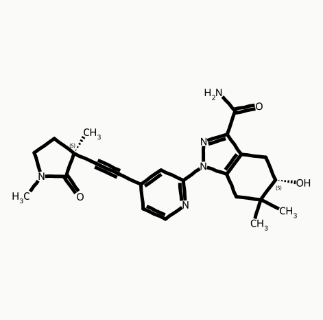 CN1CC[C@@](C)(C#Cc2ccnc(-n3nc(C(N)=O)c4c3CC(C)(C)[C@@H](O)C4)c2)C1=O